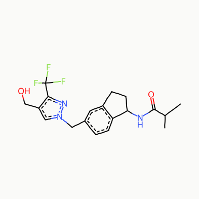 CC(C)C(=O)NC1CCc2cc(Cn3cc(CO)c(C(F)(F)F)n3)ccc21